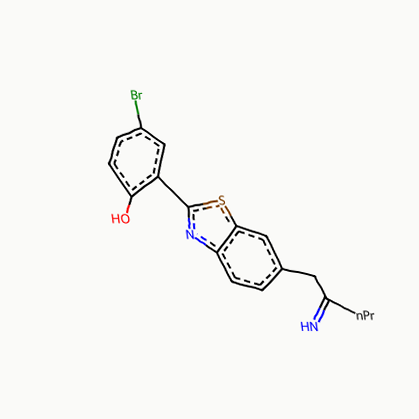 CCCC(=N)Cc1ccc2nc(-c3cc(Br)ccc3O)sc2c1